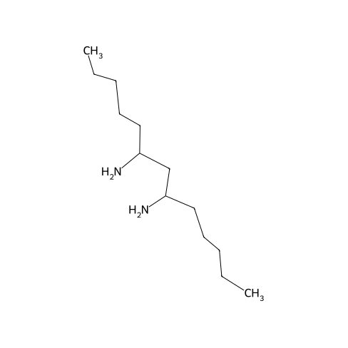 CCCCCC(N)CC(N)CCCCC